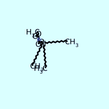 CCCCCCCCCCCC[Si](CCCCCCCCCCCC)(CCCCCCCCCCCC)OC(=O)/C=C/C(=O)OC